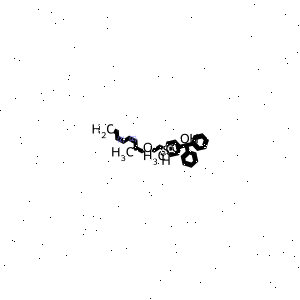 C=C/C=C\C=C/C(C)COCC[SH]12(C)CCC(C(O)(c3ccccc3)c3ccccc3)(CC1)CC2